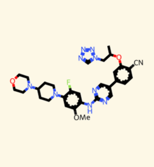 COc1cc(N2CCC(N3CCOCC3)CC2)c(F)cc1Nc1ncc(-c2ccc(C#N)c(OC(C)Cn3cnnn3)c2)cn1